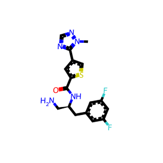 Cn1ncnc1-c1csc(C(=O)N[C@H](CN)Cc2cc(F)cc(F)c2)c1